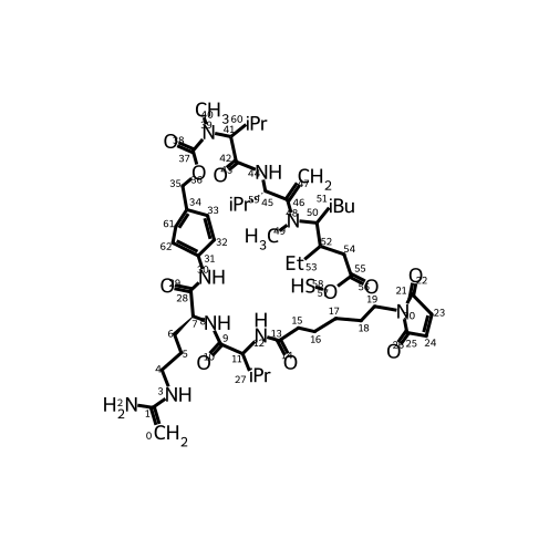 C=C(N)NCCC[C@H](NC(=O)C(NC(=O)CCCCCN1C(=O)C=CC1=O)C(C)C)C(=O)Nc1ccc(COC(=O)N(C)C(C(=O)N[C@H](C(=C)N(C)C(C(C)CC)C(CC)CC(=O)OS)C(C)C)C(C)C)cc1